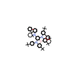 CC(C)(C)c1ccc(N2c3ccc(C(C)(C)C)cc3B3c4cc5c(cc4N(c4ccc(C(C)(C)C)cc4-c4ccccc4)c4cc(N6c7ccccc7C7(c8ccccc8)CCCCC67C)cc2c43)C(C)(C)CCC5(C)C)cc1